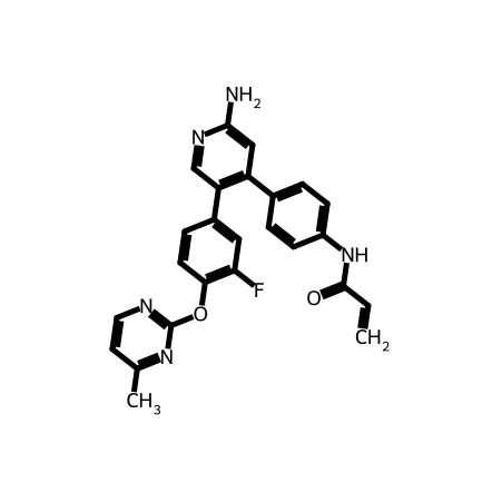 C=CC(=O)Nc1ccc(-c2cc(N)ncc2-c2ccc(Oc3nccc(C)n3)c(F)c2)cc1